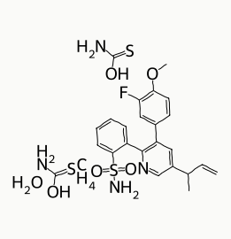 C.C=CC(C)c1cnc(-c2ccccc2S(N)(=O)=O)c(-c2ccc(OC)c(F)c2)c1.NC(O)=S.NC(O)=S.O